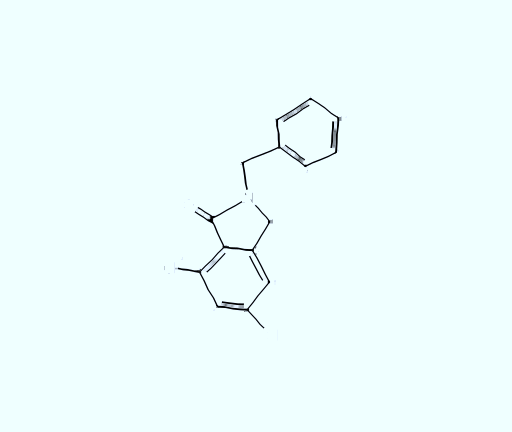 O=C1c2c(Cl)cc(Cl)cc2CN1Cc1ccccc1